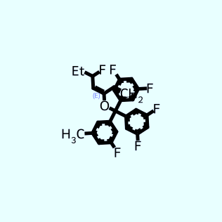 C=C/C(=C\C(F)CC)OC(c1cc(C)cc(F)c1)(c1cc(F)cc(F)c1)c1cc(F)cc(F)c1